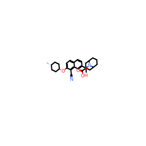 CC(c1ccc2ccc(O[C@H]3CC[C@@H](C)CC3)c(C#N)c2c1)N1C2CCCC1CC(C(=O)O)C2